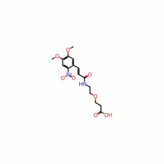 COc1cc(/C=C/C(=O)NCCOCCC(=O)O)c([N+](=O)[O-])cc1OC